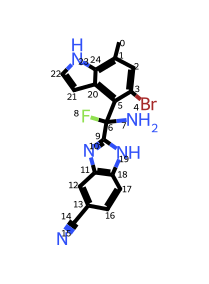 Cc1cc(Br)c(C(N)(F)c2nc3cc(C#N)ccc3[nH]2)c2cc[nH]c12